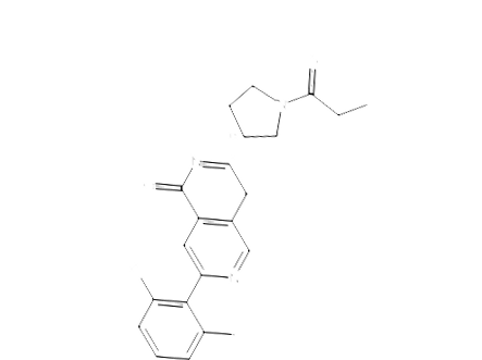 CCC(=O)N1CC[C@@H](C2=NC(=O)c3cc(-c4c(O)cccc4F)ncc3C2)C1